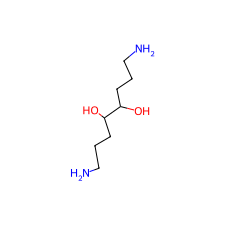 NCCCC(O)C(O)CCCN